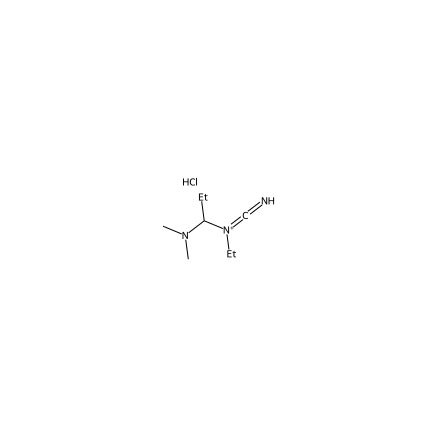 CCC(N(C)C)[N+](=C=N)CC.Cl